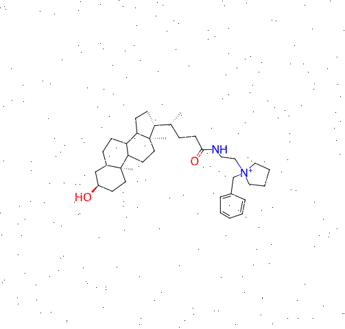 C[C@H](CCC(=O)NCC[N+]1(Cc2ccccc2)CCCC1)[C@H]1CCC2C3CCC4C[C@H](O)CC[C@]4(C)C3CC[C@@]21C